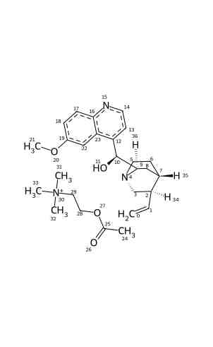 C=C[C@H]1C[N@]2CC[C@H]1C[C@@H]2[C@@H](O)c1ccnc2ccc(OC)cc12.CC(=O)OCC[N+](C)(C)C